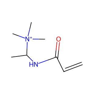 C=CC(=O)NC(C)[N+](C)(C)C